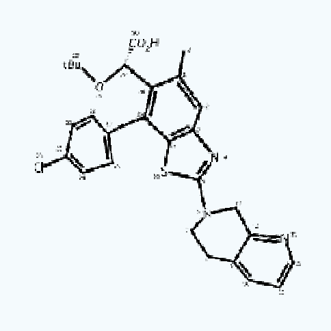 Cc1cc2nc(N3CCc4cccnc4C3)sc2c(-c2ccc(Cl)cc2)c1[C@H](OC(C)(C)C)C(=O)O